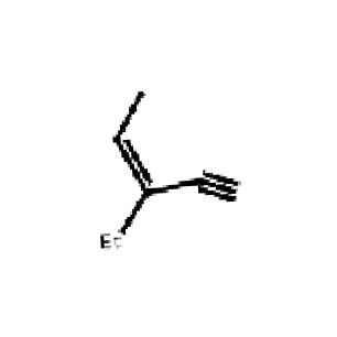 C#CC(=CC)CC